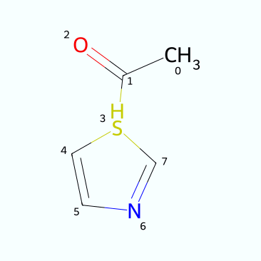 CC(=O)[SH]1C=CN=C1